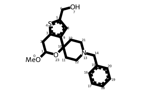 COC1Cc2sc(CO)cc2C2(CCN(Cc3ccccc3)CC2)O1